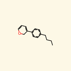 CCCCc1ccc(C2=CC=COC2)cc1